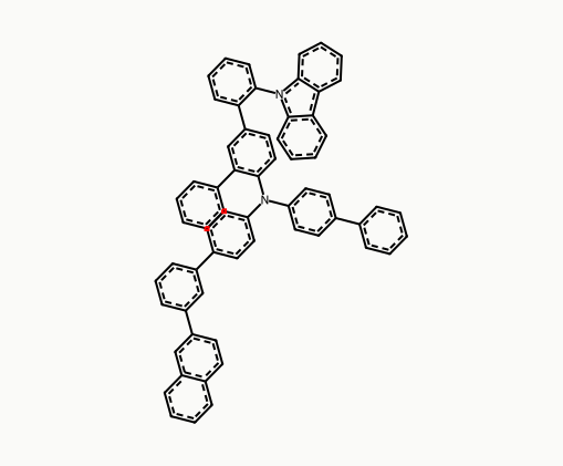 c1ccc(-c2ccc(N(c3ccc(-c4cccc(-c5ccc6ccccc6c5)c4)cc3)c3ccc(-c4ccccc4-n4c5ccccc5c5ccccc54)cc3-c3ccccc3)cc2)cc1